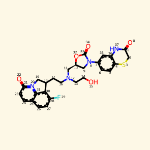 O=C1CSc2ccc(N3C[C@@H](CN(CCO)CCC4Cn5c(=O)ccc6ccc(F)c4c65)OC3=O)cc2N1